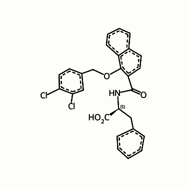 O=C(N[C@@H](Cc1ccccc1)C(=O)O)c1ccc2ccccc2c1OCc1ccc(Cl)c(Cl)c1